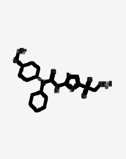 CCCO[C@H]1CC[C@H](N(C(=O)Nc2ncc(S(=O)(=O)CC(=O)O)s2)C2CCCCC2)CC1